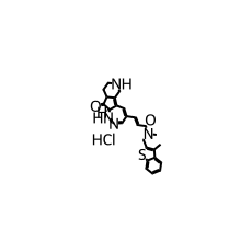 Cc1c(CN(C)C(=O)/C=C/C2=CC3=C4CNCCC4C(=O)[C@@H]3NN=C2)sc2ccccc12.Cl